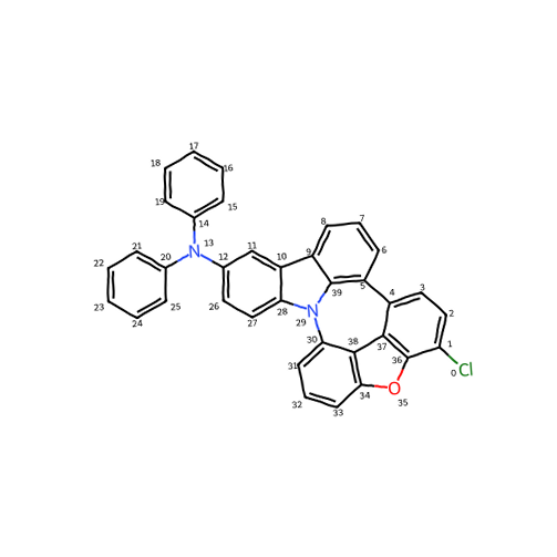 Clc1ccc2c3cccc4c5cc(N(c6ccccc6)c6ccccc6)ccc5n(c5cccc6oc1c2c65)c34